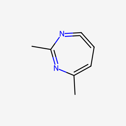 CC1=CC=C=NC(C)=N1